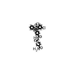 NC(=O)C1CCN(C(=O)CNC(=O)c2ccc(S(=O)(=O)N(C(=O)c3ccc(Cl)cc3Cl)c3ccccc3)cc2)CC1